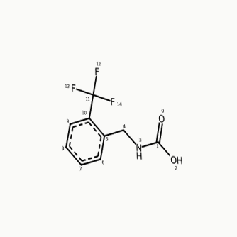 O=C(O)NCc1ccccc1C(F)(F)F